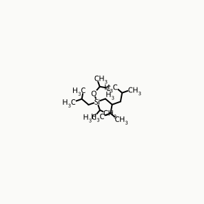 CC(C)CC(C[Si](CC(C)C)(OC(C)C)C(C)C)C(C)C